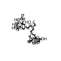 O=C(O)CN(CCN(CC(=O)O)CC(O)(OP(O)O)O[PH](=O)O)CCN(CC(=O)O)CC(O)(O[PH](=O)O)O[PH](=O)O